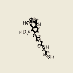 O=C(CN1CC(Oc2ccc3c(c2C(=O)O)C[B-](O)(O)[C@@H]2C[C@H]32)C1)NOCCO